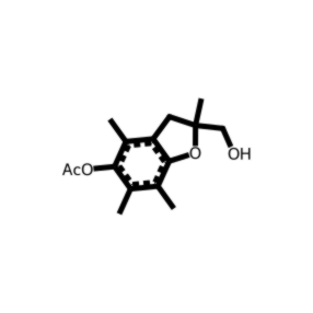 CC(=O)Oc1c(C)c(C)c2c(c1C)CC(C)(CO)O2